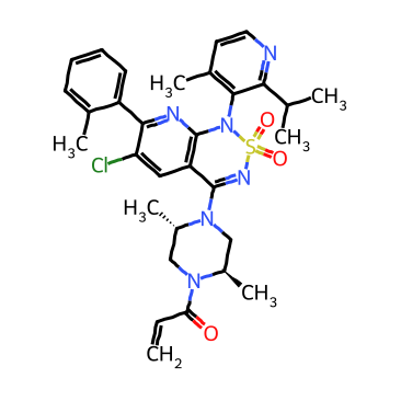 C=CC(=O)N1C[C@H](C)N(C2=NS(=O)(=O)N(c3c(C)ccnc3C(C)C)c3nc(-c4ccccc4C)c(Cl)cc32)C[C@H]1C